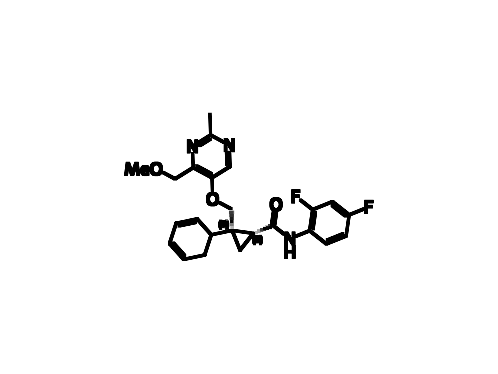 COCc1nc(C)ncc1OC[C@@]1(C2C=CC=CC2)C[C@H]1C(=O)Nc1ccc(F)cc1F